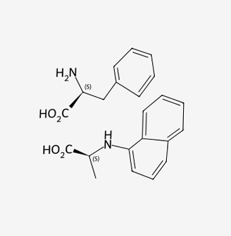 C[C@H](Nc1cccc2ccccc12)C(=O)O.N[C@@H](Cc1ccccc1)C(=O)O